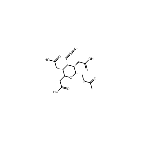 CC(=O)OC[C@@H]1OC(CC(=O)O)[C@H](CC(=O)O)[C@H](N=[N+]=[N-])[C@H]1CC(=O)O